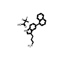 NCCCc1c[nH]c2ccc(-c3cccc4ccccc34)cc12.O=C(O)C(F)(F)F